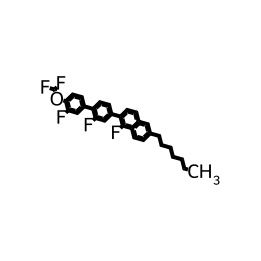 CCCCCCCc1ccc2c(F)c(-c3ccc(-c4ccc(OC(F)F)c(F)c4)c(F)c3)ccc2c1